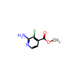 COC(=O)c1ccnc(N)c1F